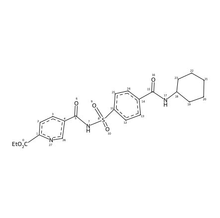 CCOC(=O)c1ccc(C(=O)NS(=O)(=O)c2ccc(C(=O)NC3CCCCC3)cc2)cn1